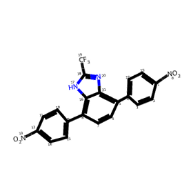 O=[N+]([O-])c1ccc(-c2ccc(-c3ccc([N+](=O)[O-])cc3)c3[nH]c(C(F)(F)F)nc23)cc1